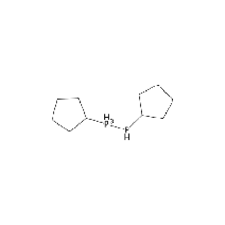 C1CCC(P[PH3]C2CCCC2)C1